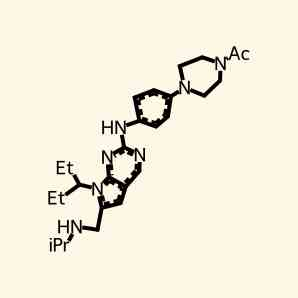 CCC(CC)n1c(CNC(C)C)cc2cnc(Nc3ccc(N4CCN(C(C)=O)CC4)cc3)nc21